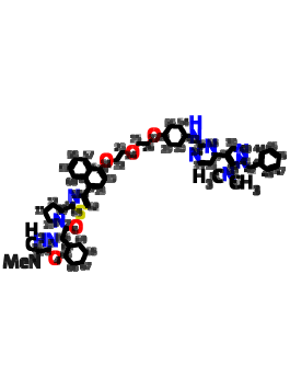 CN[C@@H](C)C(=O)N[C@H](C(=O)N1CCC[C@H]1c1nc(-c2ccc(OCCOCCOC3CCC(Nc4nccc(-c5cnn(Cc6ccccc6)c5N(C)C)n4)CC3)c3ccccc23)cs1)C1CCCCC1